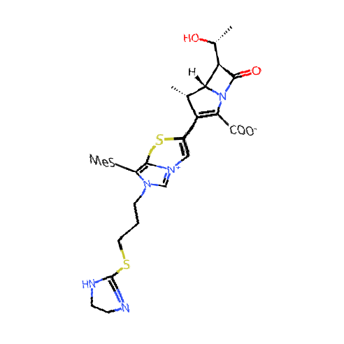 CSc1c2sc(C3=C(C(=O)[O-])N4C(=O)[C@H]([C@@H](C)O)[C@H]4[C@H]3C)c[n+]2cn1CCCSC1=NCCN1